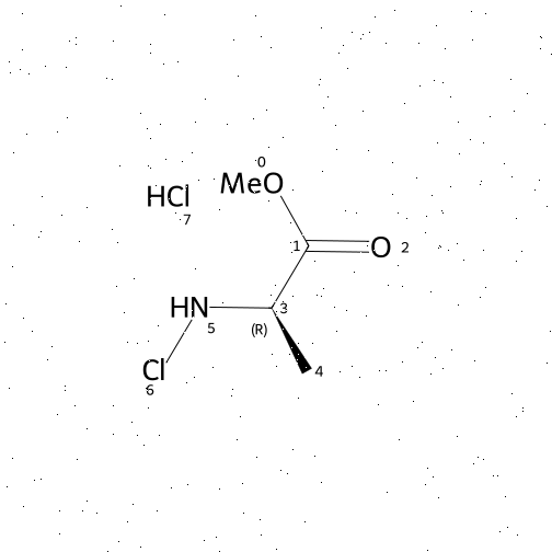 COC(=O)[C@@H](C)NCl.Cl